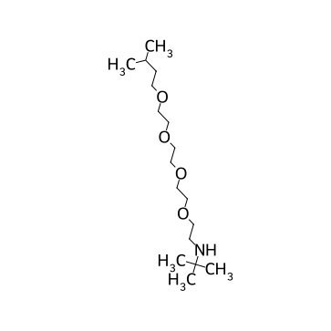 CC(C)CCOCCOCCOCCOCCNC(C)(C)C